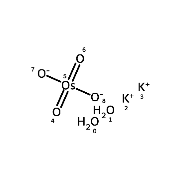 O.O.[K+].[K+].[O]=[Os](=[O])([O-])[O-]